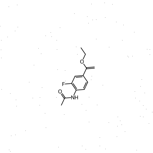 C=C(OCC)c1ccc(NC(C)=O)c(F)c1